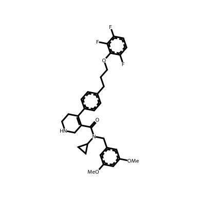 COc1cc(CN(C(=O)C2=C(c3ccc(CCCOc4c(F)ccc(F)c4F)cc3)CCNC2)C2CC2)cc(OC)c1